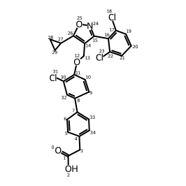 O=C(O)Cc1ccc(-c2ccc(OCc3c(-c4c(Cl)cccc4Cl)noc3C3CC3)c(Cl)c2)cc1